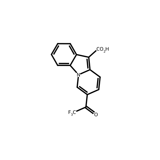 O=C(O)c1c2ccccc2n2cc(C(=O)C(F)(F)F)ccc12